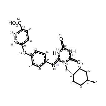 C[C@H]1CC[C@H](Cn2c(=O)[nH]c(=O)[nH]/c2=N\c2ccc(Oc3ccc(C(=O)O)nn3)cc2)CC1